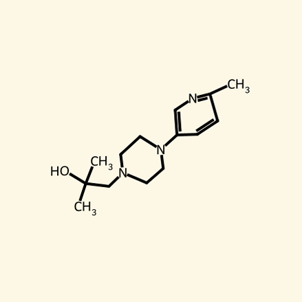 Cc1ccc(N2CCN(CC(C)(C)O)CC2)cn1